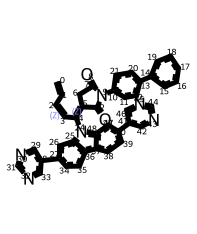 C=C/C=C\C(=C1/CC(=O)N(c2ccc(-c3ccccc3)cc2)C1=O)n1c2cc(-c3cncnc3)ccc2c2ccc(-c3cncnc3)cc21